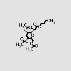 CCCCOC(=O)COC1OC(COC(C)=O)C(OC(C)=O)=CC1OC(C)=O